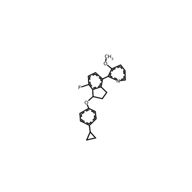 COc1cccnc1-c1ccc(F)c2c1CCC2Oc1ccc(C2CC2)cc1